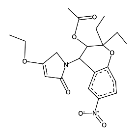 CCOC1=CC(=O)N(C2c3cc([N+](=O)[O-])ccc3OC(CC)(CC)C2OC(C)=O)C1